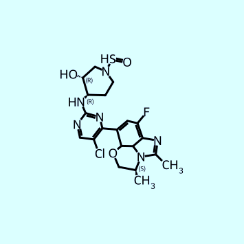 CC1=NC2=C(F)C=C(c3nc(N[C@@H]4CCN([SH]=O)C[C@H]4O)ncc3Cl)C3OC[C@H](C)N1C23